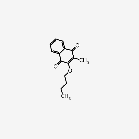 CCCCOC1=C(C)C(=O)c2ccccc2C1=O